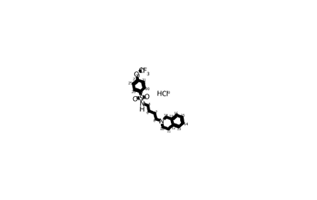 Cl.O=S(=O)(NCCCCN1CCc2ccccc2C1)c1ccc(OC(F)(F)F)cc1